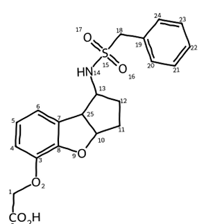 O=C(O)COc1cccc2c1OC1CCC(NS(=O)(=O)Cc3ccccc3)C21